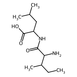 CCC(C)C(N)C(=O)NC(CC(C)C)C(=O)O